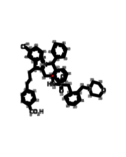 O=C(O)c1ccc(CCCc2c(CCNS(=O)(=O)Cc3ccccc3CN3CCOCC3)n(C(c3ccccc3)c3ccccc3)c3ccc(Cl)cc23)cc1